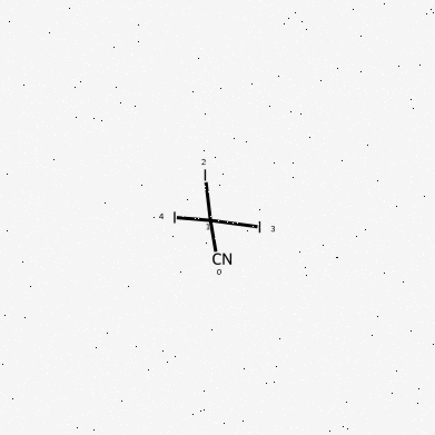 N#CC(I)(I)I